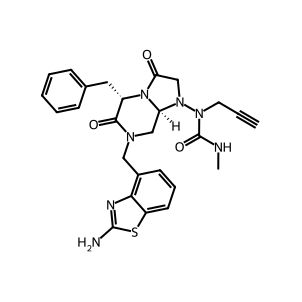 C#CCN(C(=O)NC)N1CC(=O)N2[C@@H](Cc3ccccc3)C(=O)N(Cc3cccc4sc(N)nc34)C[C@@H]21